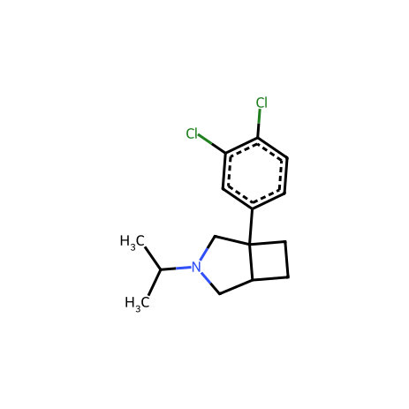 CC(C)N1CC2CCC2(c2ccc(Cl)c(Cl)c2)C1